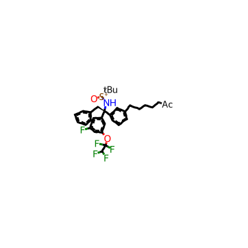 CC(=O)CCCCCc1cccc([C@@](Cc2ccccc2)(N[S@+]([O-])C(C)(C)C)c2cc(F)cc(OC(F)(F)C(F)F)c2)c1